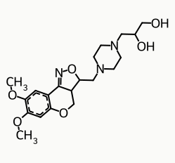 COc1cc2c(cc1OC)C1=NOC(CN3CCN(CC(O)CO)CC3)C1CO2